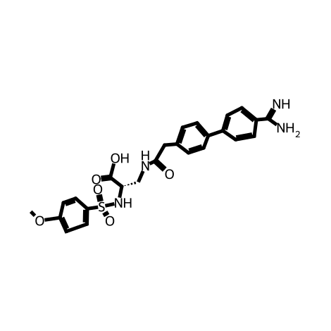 COc1ccc(S(=O)(=O)N[C@@H](CNC(=O)Cc2ccc(-c3ccc(C(=N)N)cc3)cc2)C(=O)O)cc1